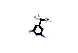 CC(C)c1cc(I)cc(I)c1